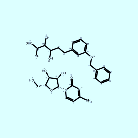 Nc1ccn([C@@H]2O[C@H](CO)[C@@H](O)[C@H]2O)c(=O)n1.O=CC(O)C(O)C(O)CCc1cccc(OCc2ccccc2)c1